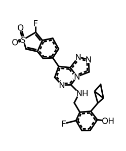 O=S1(=O)C=c2cc(-c3cnc(NCc4c(F)ccc(O)c4C4C5CC54)n4cnnc34)ccc2=C1F